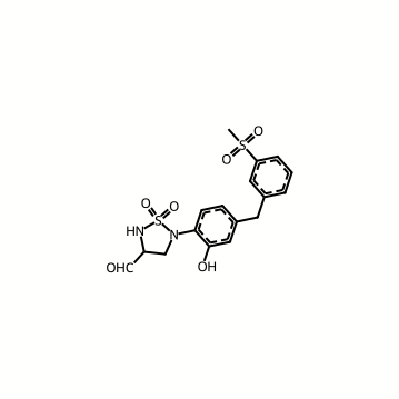 CS(=O)(=O)c1cccc(Cc2ccc(N3CC(C=O)NS3(=O)=O)c(O)c2)c1